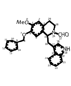 COc1cc2c(cc1OCc1ccccc1)C(Cc1c[nH]c3ccccc13)N(C=O)CC2